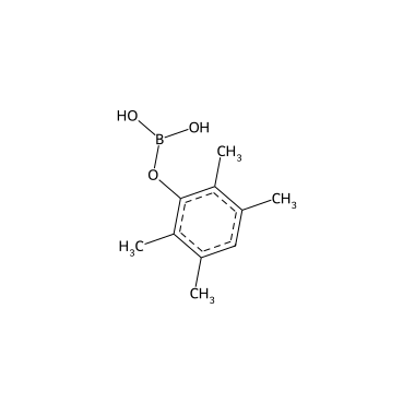 Cc1cc(C)c(C)c(OB(O)O)c1C